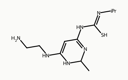 CC(C)/N=C(\S)NC1=NC(C)NC(NCCN)=C1